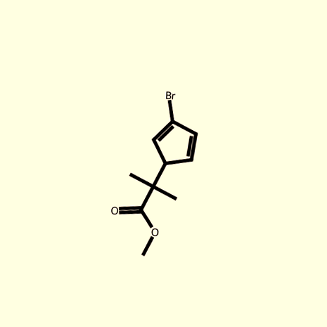 COC(=O)C(C)(C)C1C=CC(Br)=C1